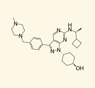 C[C@H](Nc1ncc2c(-c3ccc(CN4CCN(C)CC4)cc3)nn([C@H]3CC[C@H](O)CC3)c2n1)C1CCC1